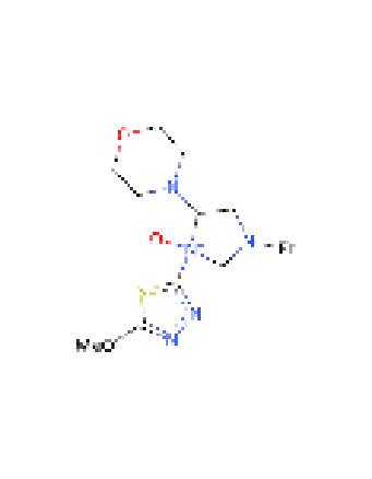 CCN1CC(N2CCOCC2)[N+]([O-])(c2nnc(OC)s2)C1